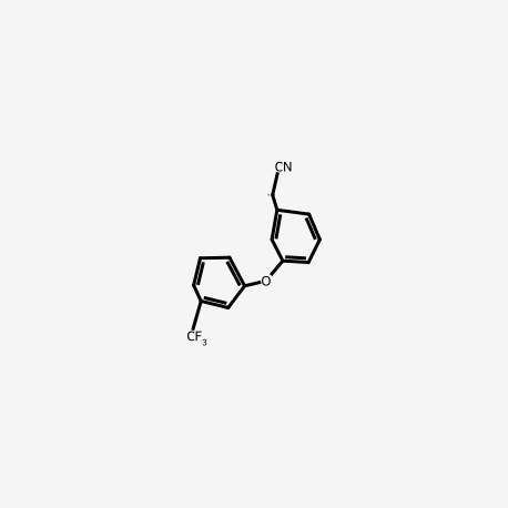 N#C[CH]c1cccc(Oc2cccc(C(F)(F)F)c2)c1